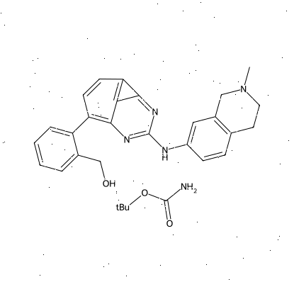 CC(C)(C)OC(N)=O.CN1CCc2ccc(Nc3nc4c5c-4ccc(-c4ccccc4CO)c5n3)cc2C1